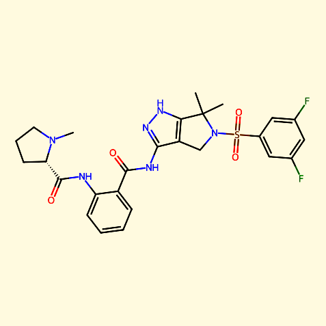 CN1CCC[C@H]1C(=O)Nc1ccccc1C(=O)Nc1n[nH]c2c1CN(S(=O)(=O)c1cc(F)cc(F)c1)C2(C)C